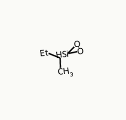 CCC(C)[SiH]1OO1